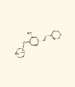 C(=C\c1ccc(OC2CN3CCC2CC3)cc1)/c1ccccc1.Cl